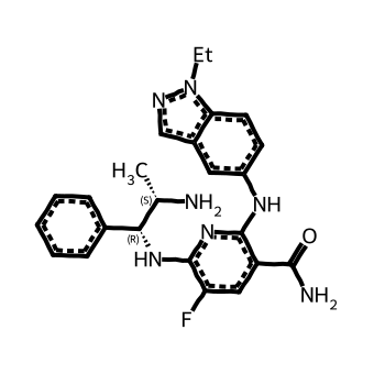 CCn1ncc2cc(Nc3nc(N[C@H](c4ccccc4)[C@H](C)N)c(F)cc3C(N)=O)ccc21